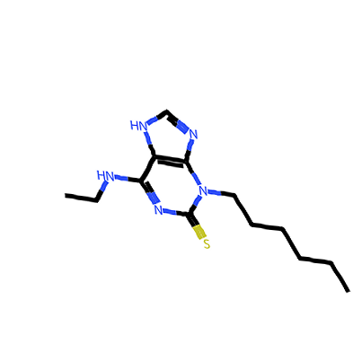 CCCCCCn1c(=S)nc(NCC)c2[nH]cnc21